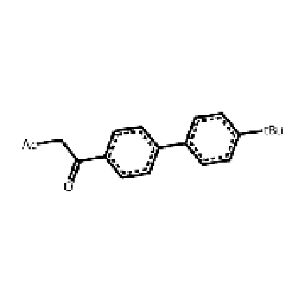 CC(=O)CC(=O)c1ccc(-c2ccc(C(C)(C)C)cc2)cc1